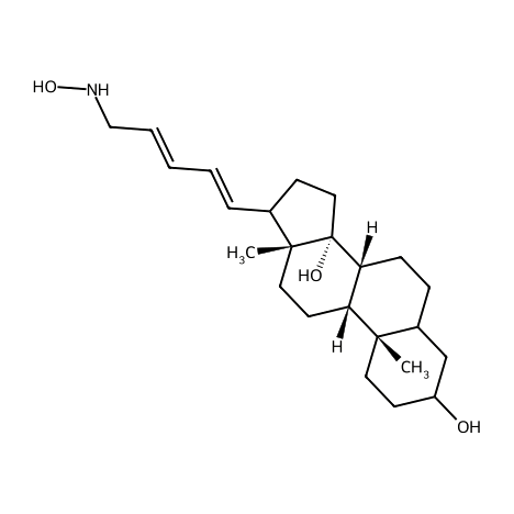 C[C@]12CCC(O)CC1CC[C@@H]1[C@H]2CC[C@]2(C)C(C=CC=CCNO)CC[C@@]12O